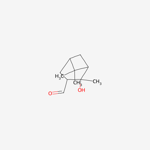 CC1(C)C2CC(C=O)C(C)(O)C1C2